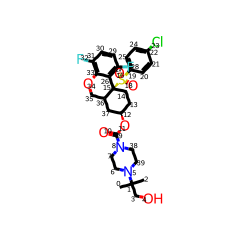 CC(C)(CO)N1CCN(C(=O)O[C@@H]2CC[C@@]3(S(=O)(=O)c4ccc(Cl)cc4)c4c(F)ccc(F)c4OCC3C2)CC1